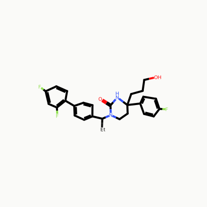 CCC(c1ccc(-c2ccc(F)cc2F)cc1)N1CCC(CCCO)(c2ccc(F)cc2)NC1=O